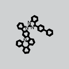 c1ccc(-c2ccc(-c3nc(-n4c5ccccc5c5cc6c(cc54)c4cccc5c4n6-c4ccccc4-c4ccccc4-5)nc4ccccc34)cc2)cc1